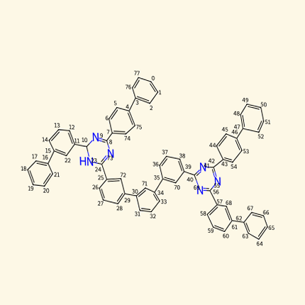 c1ccc(-c2ccc(C3=NC(c4cccc(-c5ccccc5)c4)NC(c4cccc(-c5cccc(-c6cccc(-c7nc(-c8ccc(-c9ccccc9)cc8)nc(-c8cccc(-c9ccccc9)c8)n7)c6)c5)c4)=N3)cc2)cc1